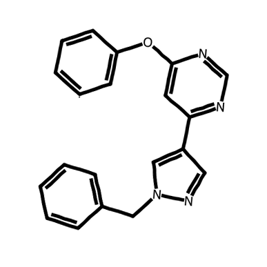 [c]1cccc(Oc2cc(-c3cnn(Cc4ccccc4)c3)ncn2)c1